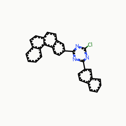 Clc1nc(-c2ccc3ccccc3c2)nc(-c2ccc3c(ccc4ccc5ccccc5c43)c2)n1